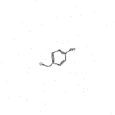 CCCc1ccc(C[O])cc1